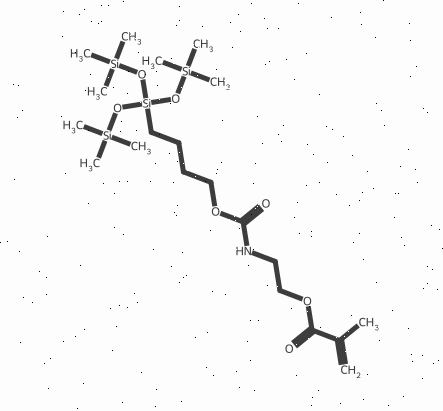 C=C(C)C(=O)OCCNC(=O)OCCCC[Si](O[Si](C)(C)C)(O[Si](C)(C)C)O[Si](C)(C)C